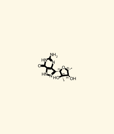 C[C@H]1O[C@@H](c2n[nH]c3c(=O)[nH]c(N)nc23)[C@](C)(O)[C@@H]1O